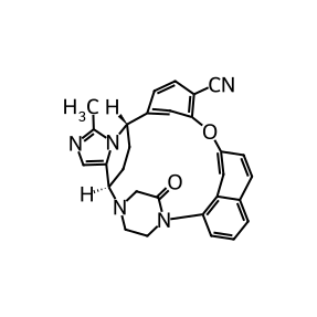 Cc1ncc2n1[C@H]1CC[C@H]2N2CCN(C(=O)C2)c2cccc3ccc(cc23)Oc2cc1ccc2C#N